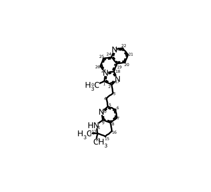 Cc1c(CCc2ccc3c(n2)NC(C)(C)CC3)nc2c3cccnc3ccn12